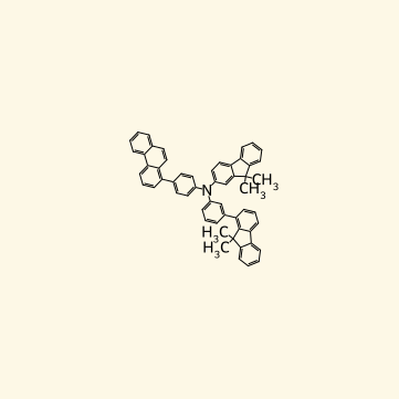 CC1(C)c2ccccc2-c2ccc(N(c3ccc(-c4cccc5c4ccc4ccccc45)cc3)c3cccc(-c4cccc5c4C(C)(C)c4ccccc4-5)c3)cc21